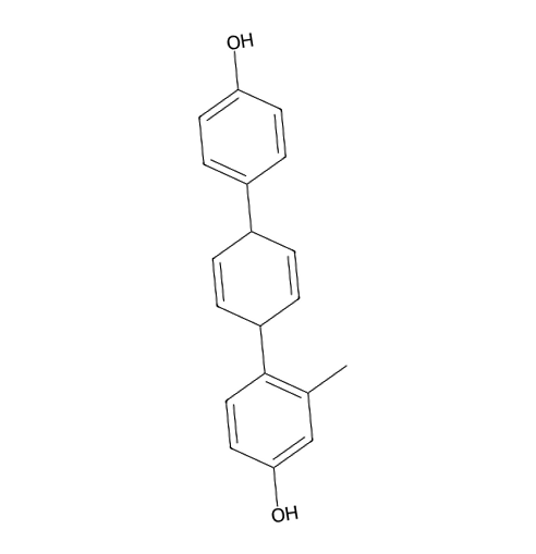 Cc1cc(O)ccc1C1C=CC(c2ccc(O)cc2)C=C1